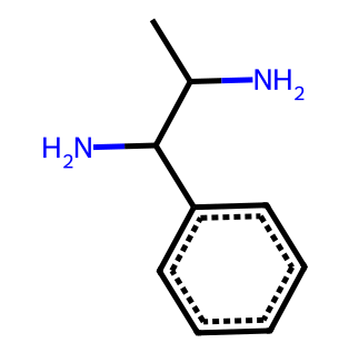 CC(N)C(N)c1ccccc1